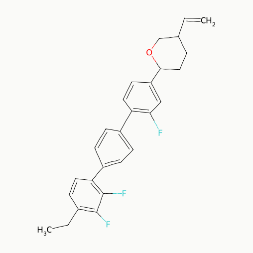 C=CC1CCC(c2ccc(-c3ccc(-c4ccc(CC)c(F)c4F)cc3)c(F)c2)OC1